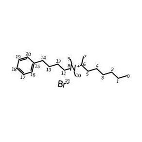 CCCCCCC(C)[N+](C)(C)CCCCc1ccccc1.[Br-]